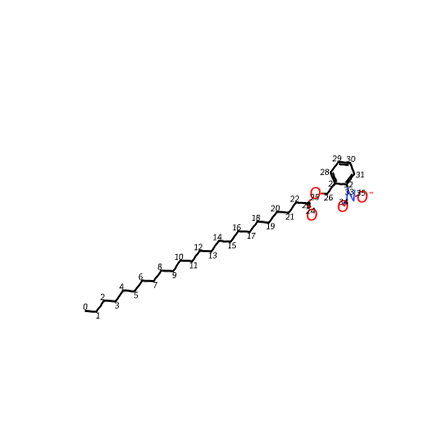 CCCCCCCCCCCCCCCCCCCCCCCC(=O)OCc1ccccc1[N+](=O)[O-]